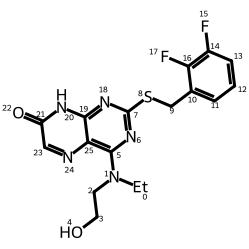 CCN(CCO)c1nc(SCc2cccc(F)c2F)nc2[nH]c(=O)cnc12